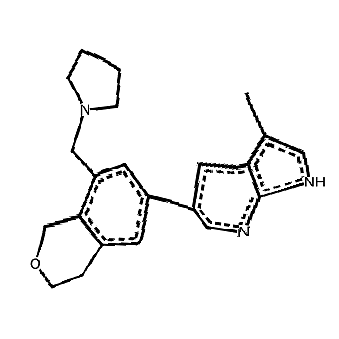 Cc1c[nH]c2ncc(-c3cc4c(c(CN5CCCC5)c3)COCC4)cc12